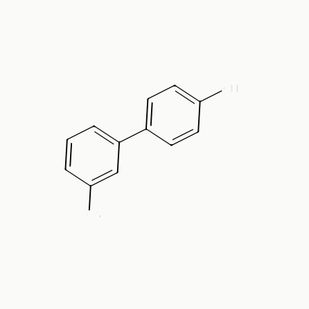 Cc1ccc(-c2cccc(S(=O)(=O)O)c2)cc1